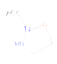 [CH2]N1NCCO1